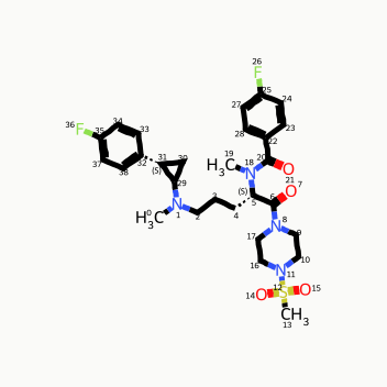 CN(CCC[C@@H](C(=O)N1CCN(S(C)(=O)=O)CC1)N(C)C(=O)c1ccc(F)cc1)C1C[C@H]1c1ccc(F)cc1